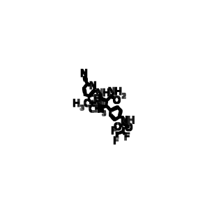 CC(C)(C)n1nc(-c2ccc(NS(=O)(=O)C(F)C(F)F)cc2)c(C(N)=O)c1Nc1cccc(C#N)n1